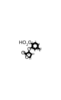 O=C(O)c1ccc(F)cc1OC1CCOC1=O